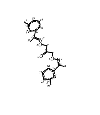 CC(=NOCC(=O)CON=C(C)c1cccc(C)n1)c1cccc(C)n1